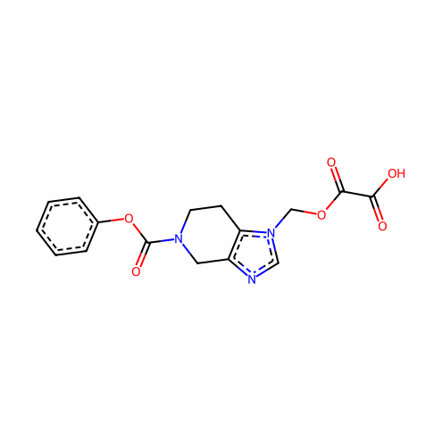 O=C(O)C(=O)OCn1cnc2c1CCN(C(=O)Oc1ccccc1)C2